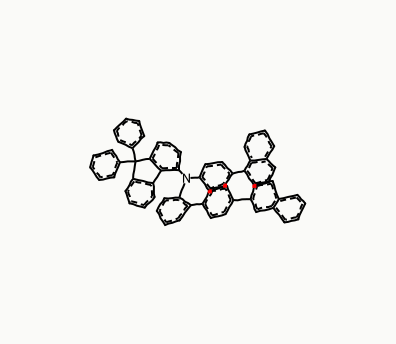 c1ccc(C2(c3ccccc3)c3ccccc3-c3c(N(c4ccc(-c5cccc6ccccc56)cc4)c4ccccc4-c4ccc(-c5ccc6ccccc6c5)cc4)cccc32)cc1